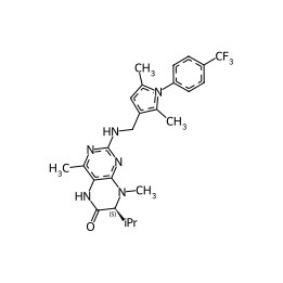 Cc1nc(NCc2cc(C)n(-c3ccc(C(F)(F)F)cc3)c2C)nc2c1NC(=O)[C@H](C(C)C)N2C